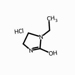 CCN1CCN=C1O.Cl